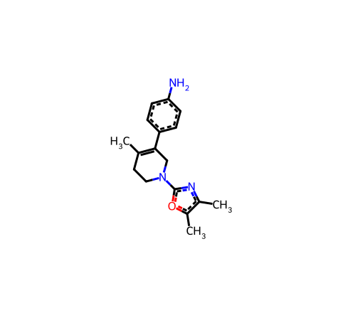 CC1=C(c2ccc(N)cc2)CN(c2nc(C)c(C)o2)CC1